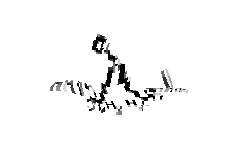 CCCCCCCCCOC(=O)C(C)CCCCCCN(CCCCCCC(C)C(=O)OCCCCCCCCC)CCCN1CCCC1